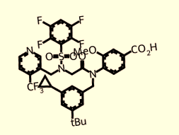 COc1cc(C(=O)O)ccc1N(Cc1cc(C2CC2)cc(C(C)(C)C)c1)C(=O)CN(Cc1cnccc1C(F)(F)F)S(=O)(=O)c1c(F)c(F)cc(F)c1F